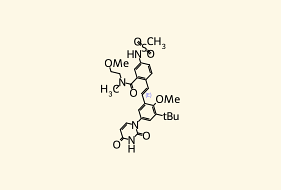 COCCN(C)C(=O)c1cc(NS(C)(=O)=O)ccc1/C=C/c1cc(-n2ccc(=O)[nH]c2=O)cc(C(C)(C)C)c1OC